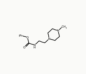 CC(C)OC(=O)NCCN1CCN(C)CC1